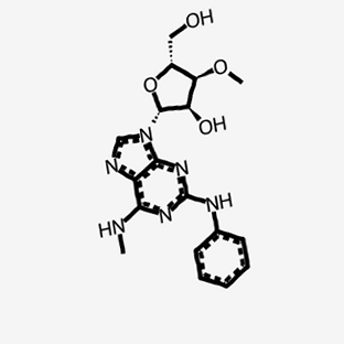 CNc1nc(Nc2ccccc2)nc2c1ncn2[C@@H]1O[C@H](CO)[C@@H](OC)[C@H]1O